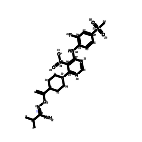 C=C(O/N=C(\N)C(C)C)C1CCN(c2ncnc(Nc3ccc(S(C)(=O)=O)cc3F)c2[N+](=O)[O-])CC1